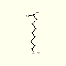 CCCCCCCCCCCCOSC(=O)[S]